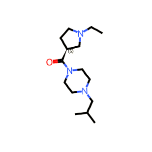 CCN1CC[C@H](C(=O)N2CCN(CC(C)C)CC2)C1